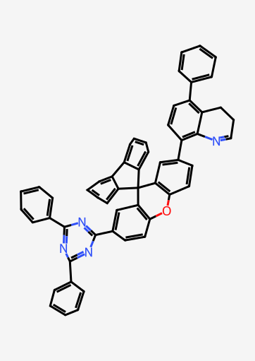 C1=Nc2c(-c3ccc4c(c3)C3(c5cc(-c6nc(-c7ccccc7)nc(-c7ccccc7)n6)ccc5O4)c4ccccc4-c4ccccc43)ccc(-c3ccccc3)c2CC1